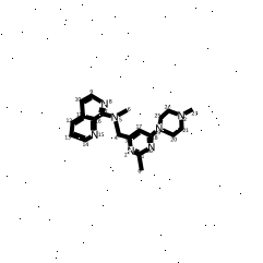 Cc1nc(CN(C)c2nccc3cccnc23)cc(N2CCN(C)CC2)n1